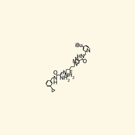 CCC(C)c1ccnc(CNC(=O)c2cn(CCC(F)CN(N)/C=C(\N)C(=O)NCc3cccc(C4CC4)c3)nn2)c1